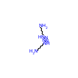 NCCCCCCNc1ncnc(NCCCCCCN)n1